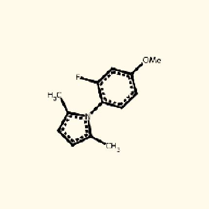 COc1ccc(-n2c(C)ccc2C)c(F)c1